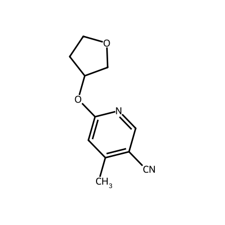 Cc1cc(OC2CCOC2)ncc1C#N